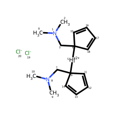 CN(C)C[C]1([Hf+2][C]2(CN(C)C)C=CC=C2)C=CC=C1.[Cl-].[Cl-]